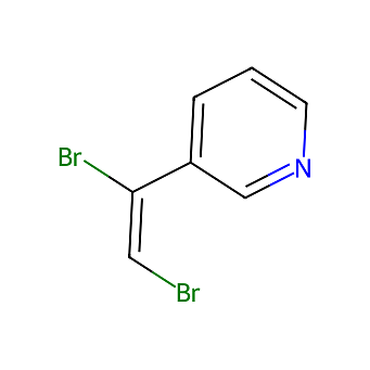 Br/C=C(/Br)c1cccnc1